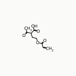 C=CC(=O)OCCC(C(C)=O)C(=O)O